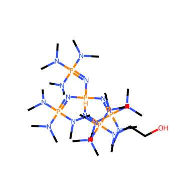 CN(C)P(=N[PH](N=P(N(C)C)(N(C)C)N(C)C)(N=P(N(C)C)(N(C)C)N(C)C)N=P(N(C)C)(N(C)C)N(C)CCO)(N(C)C)N(C)C